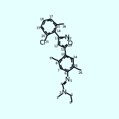 CCN(C)C=Nc1cc(C)c(-c2cc(-c3c(C)cccc3Cl)no2)cc1C